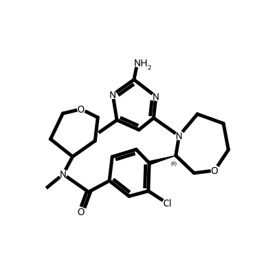 Cc1cc(N2CCCOC[C@H]2c2ccc(C(=O)N(C)C3CCOCC3)cc2Cl)nc(N)n1